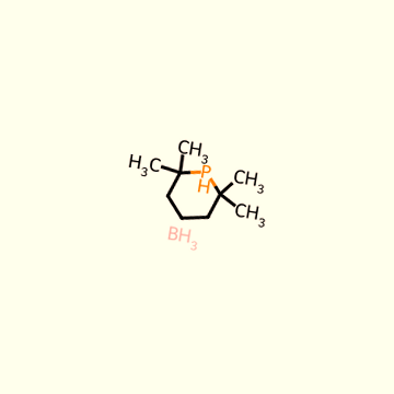 B.CC1(C)CCCC(C)(C)P1